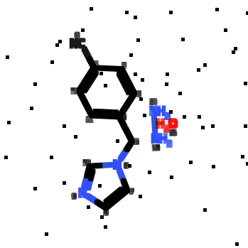 N#Cc1ccc(Cn2ccnc2)cc1.NN.O